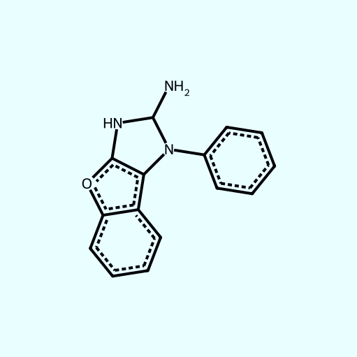 NC1Nc2oc3ccccc3c2N1c1ccccc1